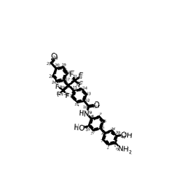 Nc1ccc(-c2ccc(NC(=O)c3ccc(C(c4ccc(C=O)cc4)(C(F)(F)F)C(F)(F)F)cc3)c(O)c2)cc1O